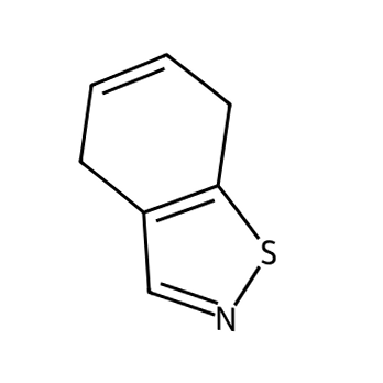 C1=CCc2sncc2C1